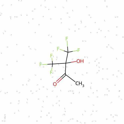 CC(=O)C(O)(C(F)(F)F)C(F)(F)F